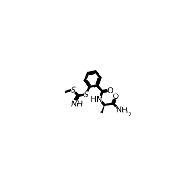 CSC(=N)Sc1ccccc1C(=O)N[C@H](C)C(N)=O